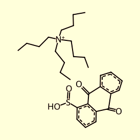 CCCC[N+](CCCC)(CCCC)CCCC.O=C1c2ccccc2C(=O)c2c1cccc2S(=O)O